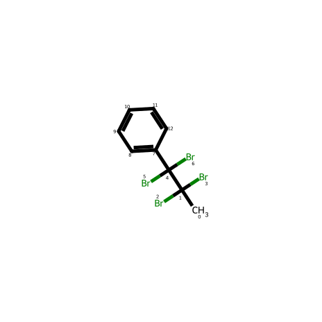 CC(Br)(Br)C(Br)(Br)c1ccccc1